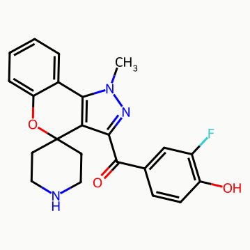 Cn1nc(C(=O)c2ccc(O)c(F)c2)c2c1-c1ccccc1OC21CCNCC1